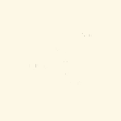 BOCC1(COC(=O)CCCCCCCCCCC)CCC(=O)O1